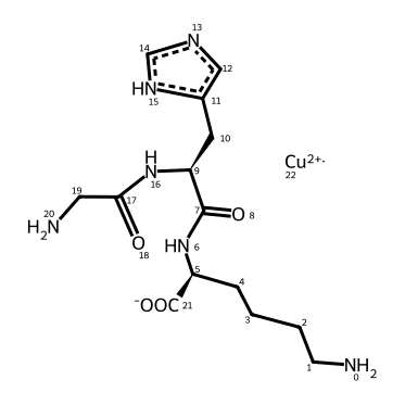 NCCCC[C@H](NC(=O)[C@H](Cc1cnc[nH]1)NC(=O)CN)C(=O)[O-].[Cu+2]